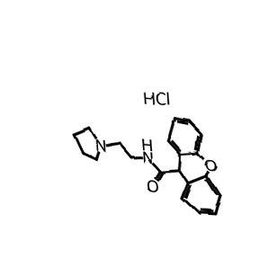 Cl.O=C(NCCN1CCCC1)C1c2ccccc2Oc2ccccc21